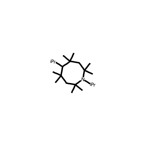 CC(C)C1C(C)(C)CC(C)(C)N(C(C)C)C(C)(C)CC1(C)C